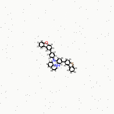 C1=CNc2c(cccc2N(c2ccc(-c3ccc4oc5ccccc5c4c3)cc2)c2ccc(-c3ccc4sc5ccccc5c4c3)cc2)C=1